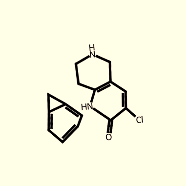 O=c1[nH]c2c(cc1Cl)CNCC2.c1ccc2c(c1)C2